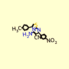 Cc1ccc(C2=CSC3=NC(c4ccc([N+](=O)[O-])cc4)C(C#N)=C(N)N23)cc1